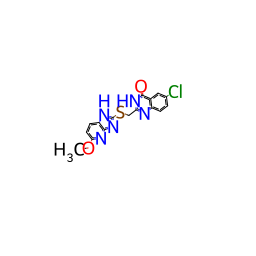 COc1ccc2[nH]c(SCc3nc4ccc(Cl)cc4c(=O)[nH]3)nc2n1